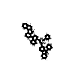 CC1(C)c2ccc3ccccc3c2-c2cccc(-c3ccc(-c4cc(-c5ccc6c(c5)C(C)(c5ccccc5)c5ccccc5-6)nc(-c5ccccc5)n4)c4ccccc34)c21